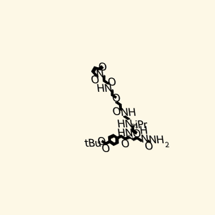 CC(C)[C@@H](NCCNC(=O)CCOCCNC(=O)CCN1C(=O)C=CC1=O)C(=O)N[C@@H](CCCNC(N)=O)C(=O)Cc1ccc(C(=O)OC(C)(C)C)cc1